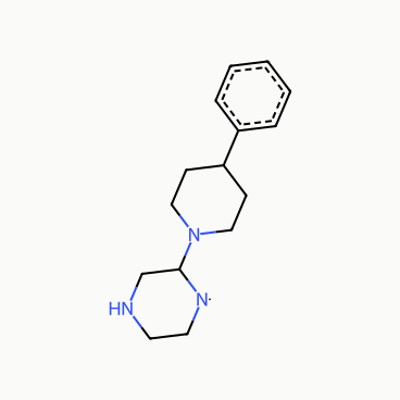 c1ccc(C2CCN(C3CNCC[N]3)CC2)cc1